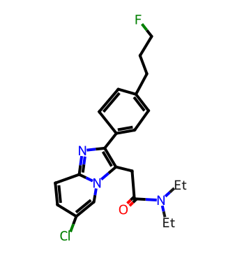 CCN(CC)C(=O)Cc1c(-c2ccc(CCCF)cc2)nc2ccc(Cl)cn12